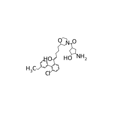 CCc1cccc(-c2c(Cl)cccc2C(O)=CCCCC2CN(C(=O)C3CC(N)C(O)C3)CCO2)c1